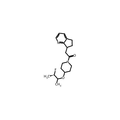 CC(OC1CCN(C(=O)CC2CCc3cccnc32)CC1)[C@@H](C)F